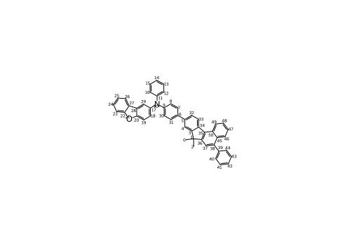 CC1(C)c2cc(-c3ccc(N(c4ccccc4)c4ccc5oc6ccccc6c5c4)cc3)ccc2-c2c1cc(-c1ccccc1)c1ccccc21